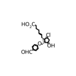 O=Cc1ccc(OC[C@@H]2[C@@H](CC=CCCCC(=O)O)[C@H](Cl)C[C@H]2O)cc1